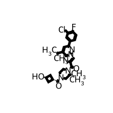 CC(C)c1cc(-c2ccc(F)c(Cl)c2)nn2cc(C(=O)N3CCN(C(=O)[C@H]4C[C@H](O)C4)CC3(C)C)nc12